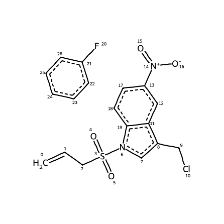 C=CCS(=O)(=O)n1cc(CCl)c2cc([N+](=O)[O-])ccc21.Fc1ccccc1